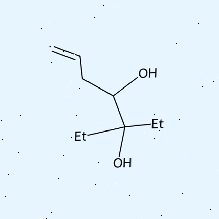 [CH]=CCC(O)C(O)(CC)CC